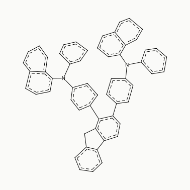 c1ccc(N(c2ccc(-c3ccc4c(c3-c3ccc(N(c5ccccc5)c5cccc6ccccc56)cc3)Cc3ccccc3-4)cc2)c2cccc3ccccc23)cc1